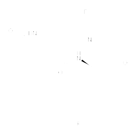 Cc1ccc([C@@]2(NC(=O)c3ccc(=O)[nH]c3)CCOc3ccc(F)nc32)cc1F